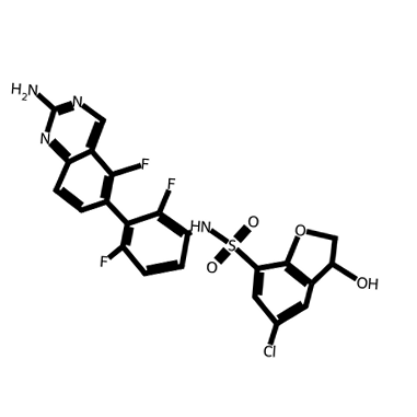 Nc1ncc2c(F)c(-c3c(F)ccc(NS(=O)(=O)c4cc(Cl)cc5c4OCC5O)c3F)ccc2n1